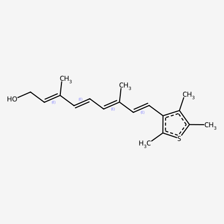 CC(/C=C/c1c(C)sc(C)c1C)=C\C=C\C(C)=C\CO